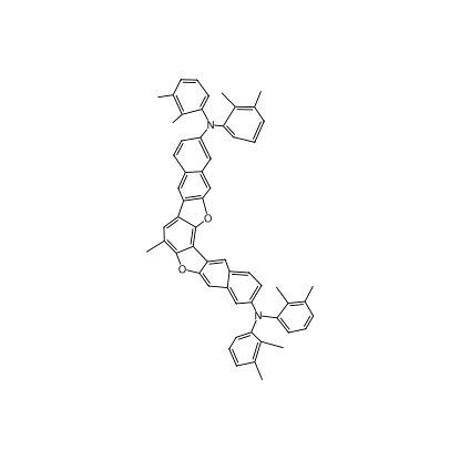 Cc1cccc(N(c2ccc3cc4c(cc3c2)oc2c4cc(C)c3oc4cc5cc(N(c6cccc(C)c6C)c6cccc(C)c6C)ccc5cc4c32)c2cccc(C)c2C)c1C